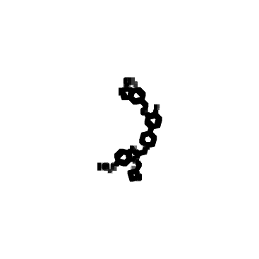 Cn1ncc2cc(COc3cc(C4CCN(Cc5nc6ccc(C(=O)O)cc6n5C[C@@H]5CCO5)CC4)ccc3F)ccc21